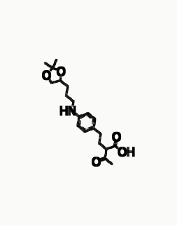 CC(=O)C(CCc1ccc(NCCCC2COC(C)(C)O2)cc1)C(=O)O